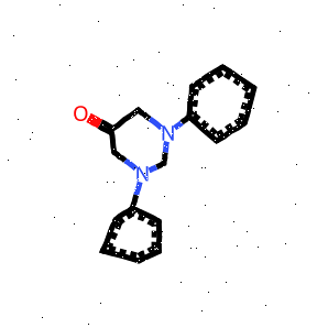 O=C1CN(c2ccccc2)CN(c2ccccc2)C1